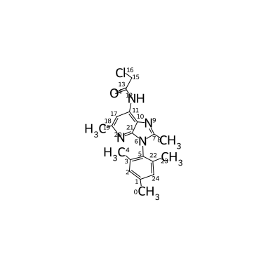 Cc1cc(C)c(-n2c(C)nc3c(NC(=O)CCl)cc(C)nc32)c(C)c1